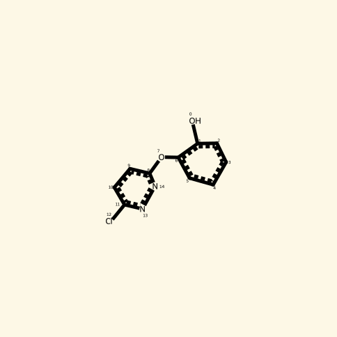 Oc1ccccc1Oc1ccc(Cl)nn1